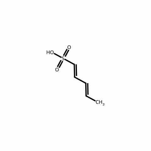 C/C=C/C=C/S(=O)(=O)O